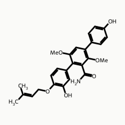 COc1cc(-c2ccc(O)cc2)c(OC)c(C(N)=O)c1-c1ccc(OCC=C(C)C)c(O)c1